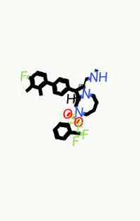 CNC[C@@H]1C(c2ccc(-c3ccc(F)c(C)c3C)cc2)[C@@H]2CN(S(=O)(=O)c3ccccc3C(F)(F)F)CCCCN12